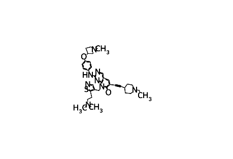 CCN1CCC(C#Cc2cc3cnc(Nc4ccc(OC5CCN(C)C5)cc4)nc3n(Cc3cnsc3CCN(C)C)c2=O)CC1